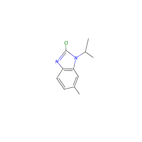 Cc1ccc2nc(Cl)n(C(C)C)c2c1